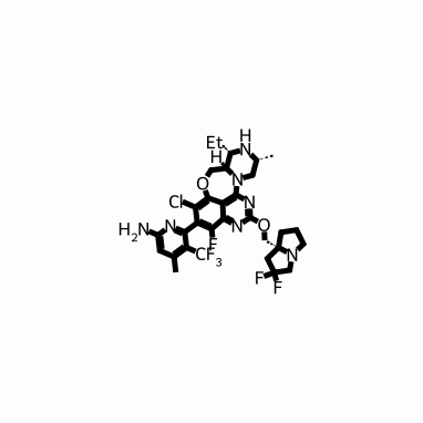 CC[C@@H]1N[C@H](C)CN2c3nc(OC[C@]45CCCN4CC(F)(F)C5)nc4c(F)c(-c5nc(N)cc(C)c5C(F)(F)F)c(Cl)c(c34)OC[C@H]12